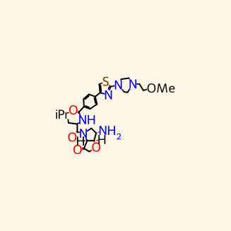 COCCN1CCN(c2nc(-c3ccc(C(=O)NC(CC(C)C)C(=O)N4C[C@H](N)[C@H]5OCC(=O)[C@H]54)cc3)cs2)CC1